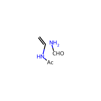 C=CNC(C)=O.NC=O